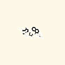 Nc1ncnn2c([C@@H]3O[C@H](Cc4c(S(N)(=O)=O)ccc5ccccc45)[C@@H](O)[C@H]3O)cc(I)c12